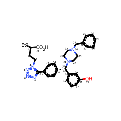 CCC(CCn1nnnc1-c1ccc([C@@H](c2cccc(O)c2)N2CCN(Cc3ccccc3)CC2)cc1)C(=O)O